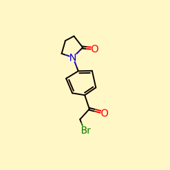 O=C(CBr)c1ccc(N2CCCC2=O)cc1